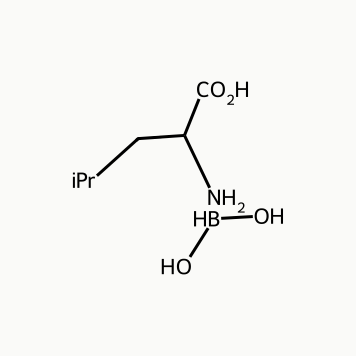 CC(C)CC(N)C(=O)O.OBO